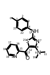 Cc1ccc(Nc2nc(N(C)C)c(C(=O)c3ccccn3)s2)cc1